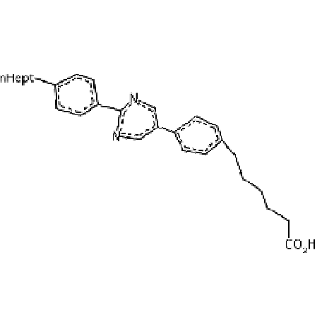 CCCCCCCc1ccc(-c2ncc(-c3ccc(CCCCCC(=O)O)cc3)cn2)cc1